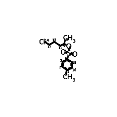 Cc1ccc(S(=O)(=O)OC(C)CCCCl)cc1